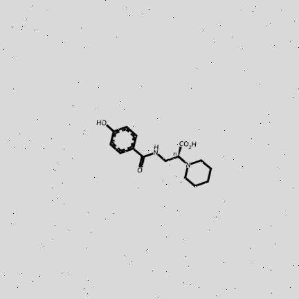 O=C(NC[C@@H](C(=O)O)N1CCCCC1)c1ccc(O)cc1